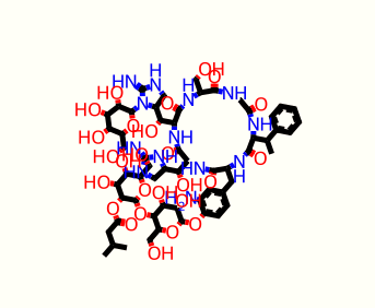 CC(C)CC(=O)OC1C(OC2C(CO)OC(Oc3ccc(CC4NC(=O)C(C(C)c5ccccc5)NC(=O)CNC(=O)C(CO)NC(=O)C(C(O)C5CNC(=N)N5C5OC(CO)C(O)C(O)C5O)NC(=O)C(C(O)C5CNC(=N)N5)NC4=O)cc3N)C(O)C2O)OC(CO)C(O)C1O